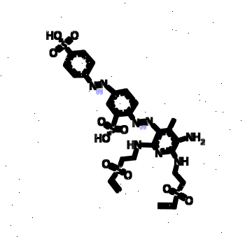 C=CS(=O)(=O)CCNc1nc(NCCS(=O)(=O)C=C)c(/N=N/c2ccc(/N=N/c3ccc(S(=O)(=O)O)cc3)cc2S(=O)(=O)O)c(C)c1N